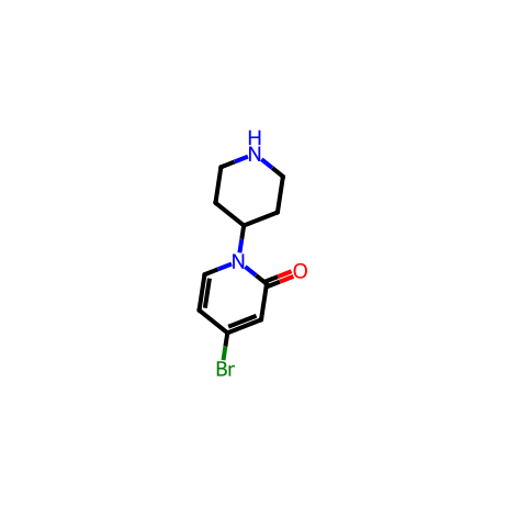 O=c1cc(Br)ccn1C1CCNCC1